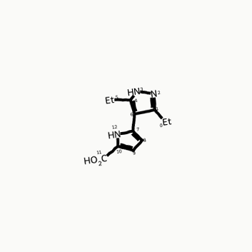 CCc1n[nH]c(CC)c1-c1ccc(C(=O)O)[nH]1